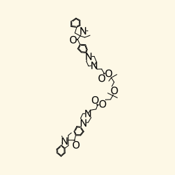 CCC(Cc1ccccc1)(C(=O)c1ccc(N2CCN(CCC(=O)OCCC(C)(C)OCCC(C)(C)OC(=O)CCN3CCN(c4ccc(C(=O)C(CC)(Cc5ccccc5)N(C)C)cc4)CC3)CC2)cc1)N(C)C